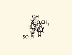 CC(O)N1CCNCC1.O=S(=O)(O)CCN1CCN(CCO)CC1